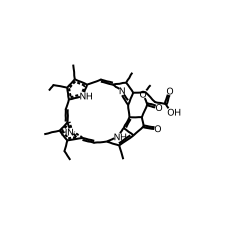 CCc1c2[nH]c(c1C)C=C1N=C(C3=C4NC(C=c5[nH]c(c(C)c5CC)=C2)C(C)=C4C(=O)C3C(=O)OC)C(CCC(=O)O)C1C